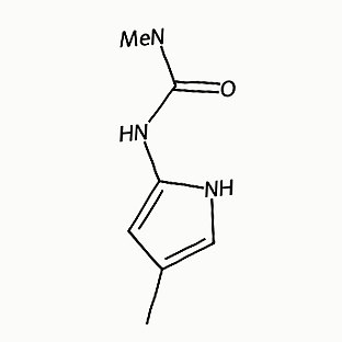 CNC(=O)Nc1cc(C)c[nH]1